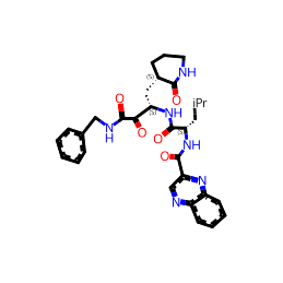 CC(C)C[C@H](NC(=O)c1cnc2ccccc2n1)C(=O)N[C@@H](C[C@@H]1CCCNC1=O)C(=O)C(=O)NCc1ccccc1